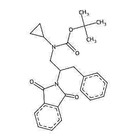 CC(C)(C)OC(=O)N(CC(Cc1ccccc1)N1C(=O)c2ccccc2C1=O)C1CC1